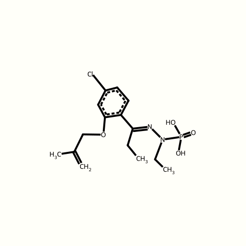 C=C(C)COc1cc(Cl)ccc1C(CC)=NN(CC)P(=O)(O)O